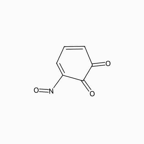 O=NC1=CC=CC(=O)C1=O